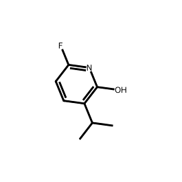 CC(C)c1ccc(F)nc1O